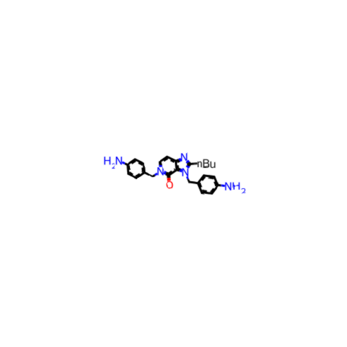 CCCCc1nc2ccn(Cc3ccc(N)cc3)c(=O)c2n1Cc1ccc(N)cc1